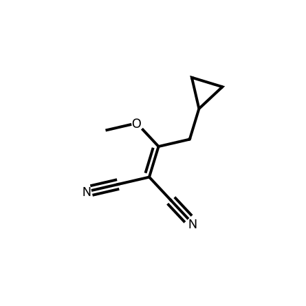 COC(CC1CC1)=C(C#N)C#N